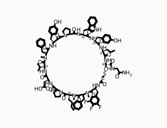 CCCC[C@H]1C(=O)N2CCC[C@@H]2C(=O)N[C@@H](CC(=O)O)C(=O)N[C@@H](C(C)C)C(=O)N(C)C(Cc2ccccc2)C(=O)N[C@@H](Cc2ccc(O)cc2)C2OC2N2CCCC2C(=O)N[C@@H](Cc2c[nH]c3ccccc23)C(=O)N[C@@H](Cc2ccc(O)cc2)C(=O)N[C@@H](CCC)C(=O)N[C@H](C(=O)NCC(N)=O)CSCC(=O)N[C@@H](Cc2cc(F)c(F)c(F)c2)C(=O)N(C)C(Cc2ccccc2)C(=O)N1C